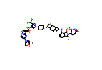 CN(C[C@H]1CC[C@H](n2cc(NC(=O)c3cnn4ccc(N5C[C@H]6CC5CO6)nc34)c(C(F)F)n2)CC1)C1CCC2(CC1)CC(Nc1cccc3c1C(=O)N(C1CCC(=O)NC1=O)C3=O)C2